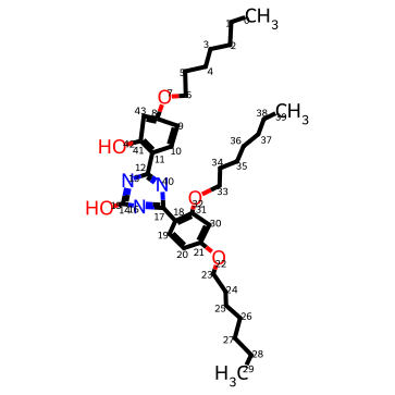 CCCCCCCOc1ccc(-c2nc(O)nc(-c3ccc(OCCCCCCC)cc3OCCCCCCC)n2)c(O)c1